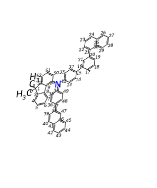 CC1(C)c2ccccc2-c2c(N(c3ccc(-c4cccc(-c5cccc6ccccc56)c4)cc3)c3ccc(-c4ccc5ccccc5c4)cc3)cccc21